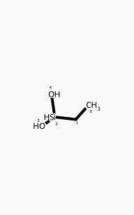 CC[SiH](O)O